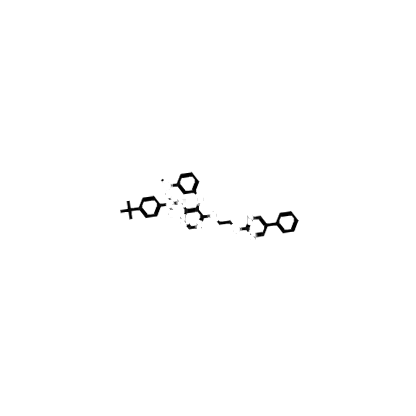 COc1cccc(Oc2c(NS(=O)(=O)c3ccc(C(C)(C)C)cc3)ncnc2OCCOc2ncc(-c3ccccc3)cn2)c1